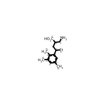 CCC(CC(CN)C(=O)O)c1cc(C)cc(C)c1C